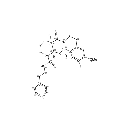 COc1cc2c(cc1C)[C@H]1C[C@@H]3[C@@H](CCCN3C(=O)NCCc3ccccc3)C(=O)N1CC2